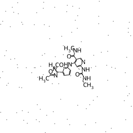 CCNC(=O)Nc1cc(Nc2cccc(-c3noc(C)n3)c2OC)c(C(=O)NC)cn1